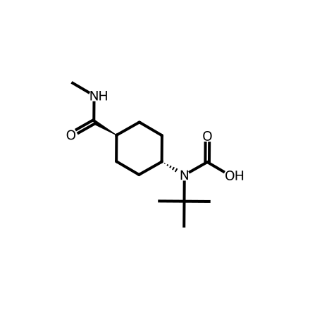 CNC(=O)[C@H]1CC[C@H](N(C(=O)O)C(C)(C)C)CC1